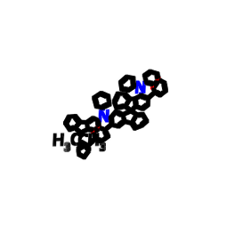 CC1(C)c2ccccc2-c2cc(N(c3ccccc3)c3cc4c(cc3-c3ccc(C5CC6CCC5C6)cc3)-c3ccccc3C43c4ccccc4-c4c3ccc(-c3ccccc3)c4N(c3ccccc3)c3ccccc3)ccc21